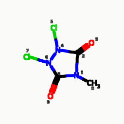 Cn1c(=O)n(Cl)n(Cl)c1=O